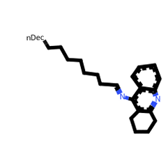 CCCCCCCCCCCCCCCCCC=Nc1c2c(nc3ccccc13)CCCC2